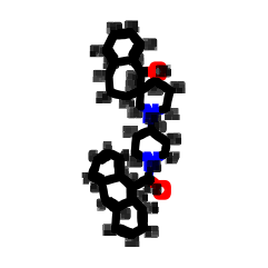 O=C(c1c2ccccc2cc2ccccc12)N1CCC(N2CCCC3(CCCc4ccccc4C3=O)C2)CC1